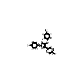 Cc1cnc(-c2nn(-c3ccc(F)cc3)cc2Sc2ccc(Cl)cc2)cn1